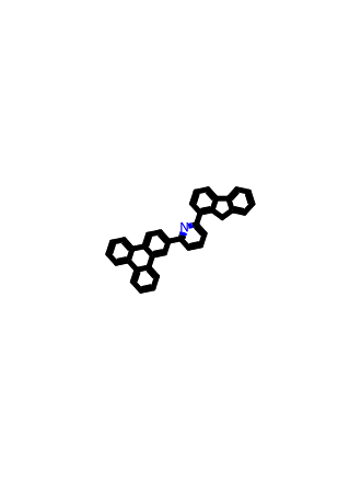 c1cc(-c2ccc3c4ccccc4c4ccccc4c3c2)nc(-c2cccc3c2Cc2ccccc2-3)c1